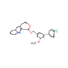 COc1cc(COC2OCc3cc4ccccc4nc32)cc(-c2ccc(F)cc2)c1